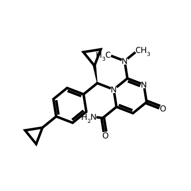 CN(C)c1nc(=O)cc(C(N)=O)n1[C@@H](c1ccc(C2CC2)cc1)C1CC1